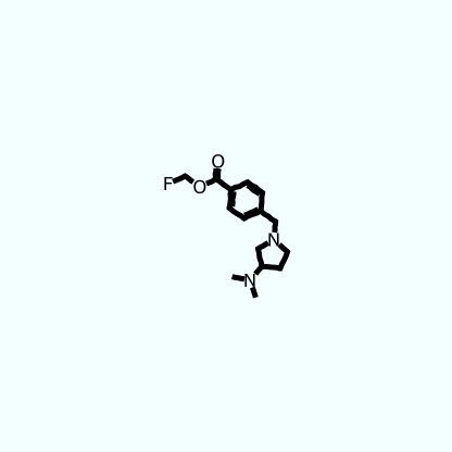 CN(C)C1CCN(Cc2ccc(C(=O)OCF)cc2)C1